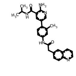 Cc1cc(NC(=O)Cc2ccc3ncccc3c2)ccc1-c1cnc(N)c(C(=O)NC(C)C)c1